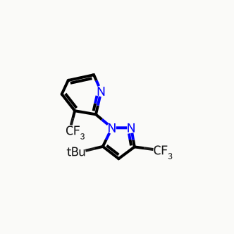 CC(C)(C)c1cc(C(F)(F)F)nn1-c1ncccc1C(F)(F)F